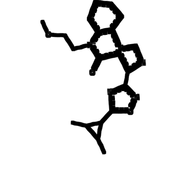 COCCn1c(=O)c2c(-c3noc(C4C(C)C4C)n3)ncn2c2ccccc21